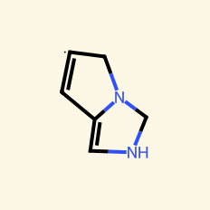 [C]1=CC2=CNCN2C1